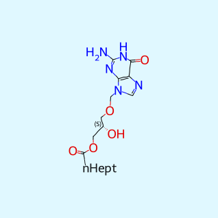 CCCCCCCC(=O)OC[C@@H](O)COCn1cnc2c(=O)[nH]c(N)nc21